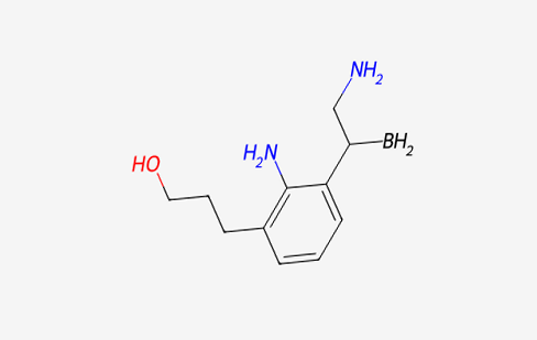 BC(CN)c1cccc(CCCO)c1N